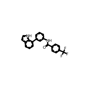 O=C(Nc1cccc(-c2cccc3cc[nH]c23)c1)c1ccc(C(F)(F)F)cc1